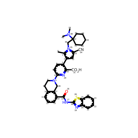 Cc1c(-c2ccc(N3CCc4cccc(C(=O)Nc5nc6ccccc6s5)c4C3)nc2C(=O)O)cc(C#N)n1CC1(N(C)C)CCCCC1